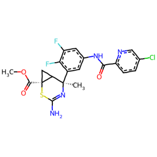 COC(=O)[C@]12CC1[C@@](C)(c1cc(NC(=O)c3ccc(Cl)cn3)cc(F)c1F)N=C(N)S2